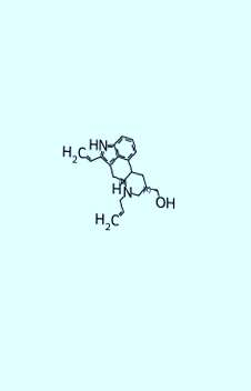 C=CCN1C[C@H](CO)CC2c3cccc4[nH]c(C=C)c(c34)C[C@H]21